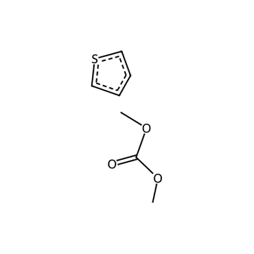 COC(=O)OC.c1ccsc1